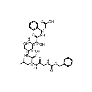 CC(C)C[C@H](NC(=O)CNC(=O)OCc1ccccc1)C(=O)N[C@@H](CO)[C@@H](O)[C@@H](O)[C@H](O)C(=O)N[C@@H](CC(=O)O)c1ccccc1